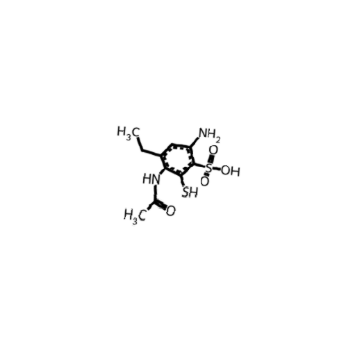 CCc1cc(N)c(S(=O)(=O)O)c(S)c1NC(C)=O